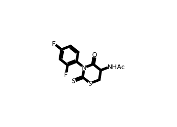 CC(=O)NC1CSC(=S)N(c2ccc(F)cc2F)C1=O